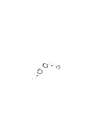 CC(=O)Nc1nc2ccc(Oc3ccc(NC(=O)NC4=CC=CC4)cc3)cc2[nH]1